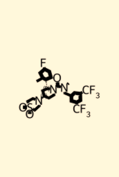 Cc1cc(F)ccc1[C@H]1C[C@H](N2CCS(=O)(=O)CC2)CCN1C(=O)N(C)Cc1cc(C(F)(F)F)cc(C(F)(F)F)c1